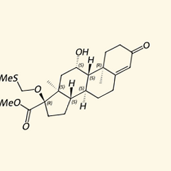 COC(=O)[C@@]1(OCSC)CC[C@H]2[C@@H]3CCC4=CC(=O)CC[C@]4(C)[C@H]3[C@@H](O)C[C@@]21C